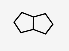 C1CC2CCCC2C1